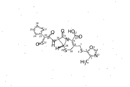 Cc1ncoc1SCC1=C(C(=O)O)N2C(=O)C(NC(=O)C(=S=O)c3cccs3)[C@H]2SC1